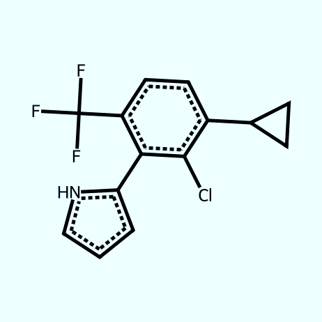 FC(F)(F)c1ccc(C2CC2)c(Cl)c1-c1ccc[nH]1